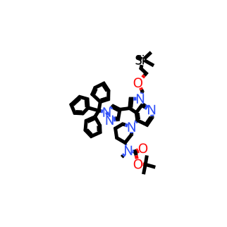 CN(C(=O)OC(C)(C)C)[C@H]1CCCN(c2ccnc3c2c(-c2cnn(C(c4ccccc4)(c4ccccc4)c4ccccc4)c2)cn3COCC[Si](C)(C)C)C1